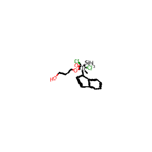 [CH3][Ti](=[O])([SiH3])([Cl])([Cl])([O]CCCO)[CH]1C=Cc2ccccc21